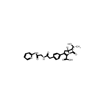 C[C@@H](O)[C@H]1C(=O)N2C(C(=O)O)=C(c3ccc(CC(=O)NCC(=O)Nc4ccccn4)cc3)C[C@H]12